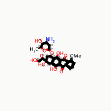 COc1cccc2c1C(=O)c1c(O)c3c(c(O)c1C2=O)C[C@](O)(C(=O)CO)C[C@H]3OC1C[C@H](N)[C@H](O)[C@H](C)O1